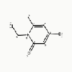 Cc1cc(Br)cc(=O)n1CCl